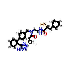 CCC(=O)N(CCNC(=O)C(S)Cc1ccccc1)Cc1ccc(-c2ccccc2-c2nnn[nH]2)cc1